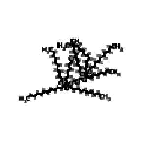 CCCCCCCCCCCC(OCCCCCCCCCC)(OCCCCCCCCCC)C(CCCCCCC)OCOCOC(CCCCCCC)C(CCCCCCCCCCC)(OCCCCCCCCCC)OCCCCCCCCCC